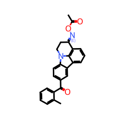 CC(=O)O/N=C1\CCn2c3ccc(C(=O)c4ccccc4C)cc3c3cccc1c32